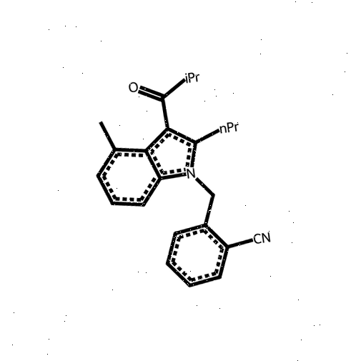 CCCc1c(C(=O)C(C)C)c2c(C)cccc2n1Cc1ccccc1C#N